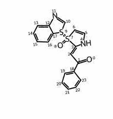 O=C(C=C1NC=CS1(=O)=S1C=Nc2ccccc21)c1ccccc1